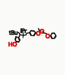 CC(OCCOc1ccccc1)Oc1ccc(C(CC(C)(C)C(CC(C)(C)C)c2ccc(O)cc2)C(C)C)cc1